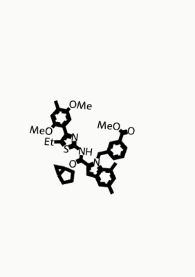 C1CC2CC2C1.CCc1sc(NC(=O)c2cc3cc(C)cc(C)c3n2Cc2cccc(C(=O)OC)c2)nc1-c1cc(OC)c(C)cc1OC